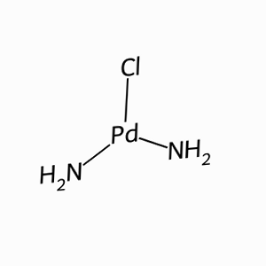 [NH2][Pd]([NH2])[Cl]